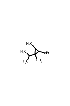 CCCC1C(C)C1(C)C(C)C(F)(F)F